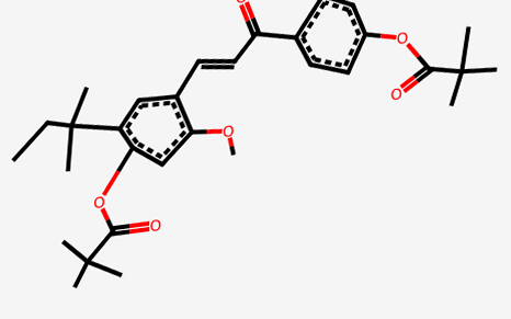 CCC(C)(C)c1cc(C=CC(=O)c2ccc(OC(=O)C(C)(C)C)cc2)c(OC)cc1OC(=O)C(C)(C)C